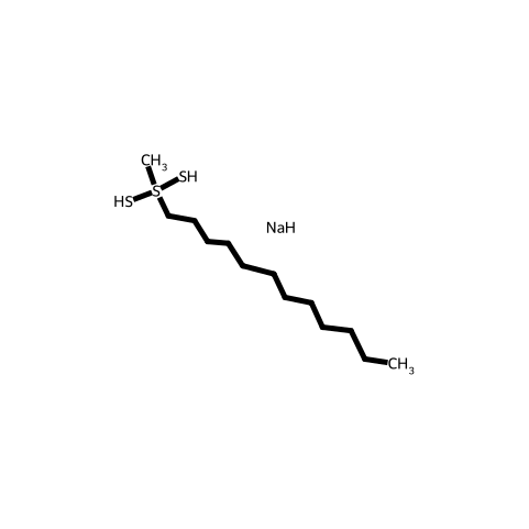 CCCCCCCCCCCCS(C)(S)S.[NaH]